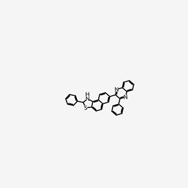 c1ccc(-c2nc3ccccc3nc2-c2ccc3c4c(ccc3c2)SC(c2ccccc2)N4)cc1